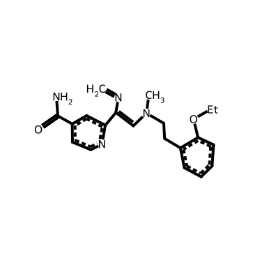 C=N/C(=C\N(C)CCc1ccccc1OCC)c1cc(C(N)=O)ccn1